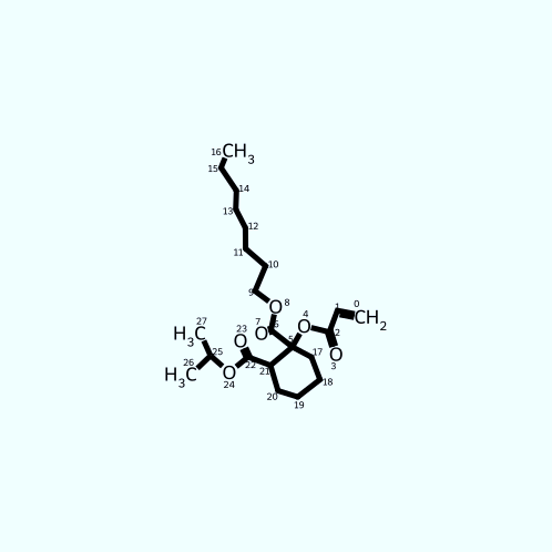 C=CC(=O)OC1(C(=O)OCCCCCCCC)CCCCC1C(=O)OC(C)C